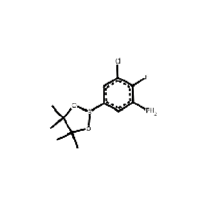 CC1(C)OB(c2cc(P)c(F)c(Cl)c2)OC1(C)C